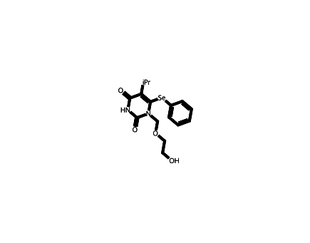 CC(C)c1c([Se]c2ccccc2)n(COCCO)c(=O)[nH]c1=O